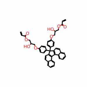 C=CC(=O)OCC(O)COc1ccc(C2(c3ccc(OCC(O)COC(=O)C=C)cc3)c3ccc4ccccc4c3-c3c2ccc2ccccc32)cc1